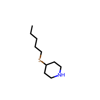 CCCCCSC1CCNCC1